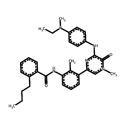 CCCCc1ccccc1C(=O)Nc1cccc(-c2cn(C)c(=O)c(Nc3ccc(N(C)CC)cc3)n2)c1C